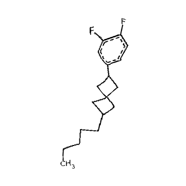 CCCCCC1CC2(C1)CC(c1ccc(F)c(F)c1)C2